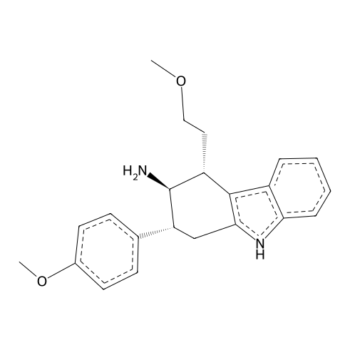 COCC[C@@H]1c2c([nH]c3ccccc23)C[C@H](c2ccc(OC)cc2)[C@H]1N